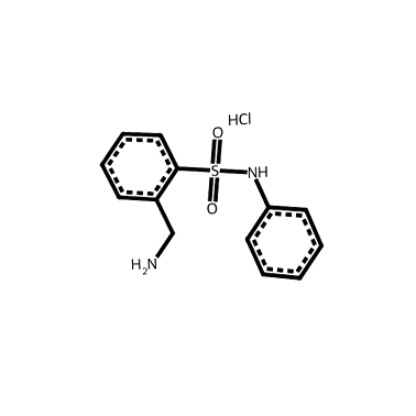 Cl.NCc1ccccc1S(=O)(=O)Nc1ccccc1